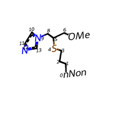 CCCCCCCCCCCCSC(COC)Cn1ccnc1